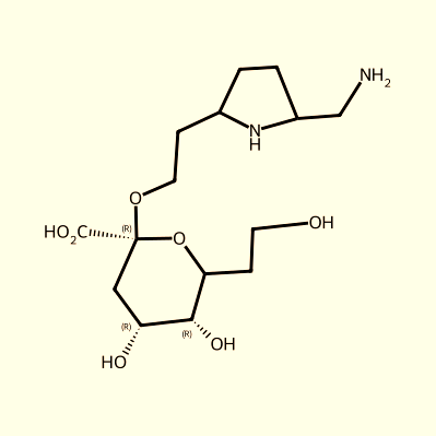 NCC1CCC(CCO[C@]2(C(=O)O)C[C@@H](O)[C@@H](O)C(CCO)O2)N1